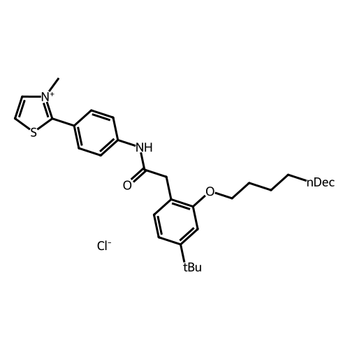 CCCCCCCCCCCCCCOc1cc(C(C)(C)C)ccc1CC(=O)Nc1ccc(-c2scc[n+]2C)cc1.[Cl-]